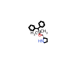 C[Si](C)(OC[C@@H]1CCCN1)C(c1ccccc1)c1ccccc1